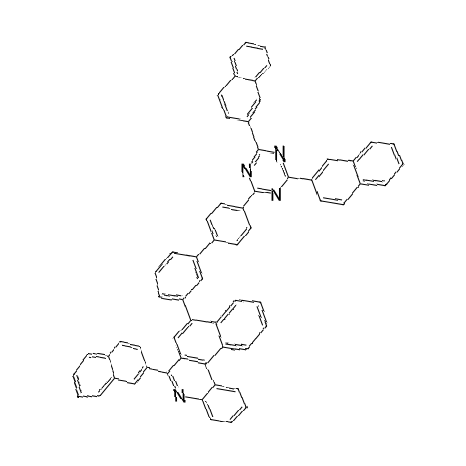 c1cc(-c2ccc(-c3nc(-c4ccc5ccccc5c4)nc(-c4ccc5ccccc5c4)n3)cc2)cc(-c2cc3c(-c4ccc5ccccc5c4)nc4ccccc4c3c3ccccc23)c1